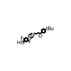 CC(C)(C)c1ccc(C(=O)CCCN2CCN(c3cc(F)c(O)cc3F)CC2)cc1